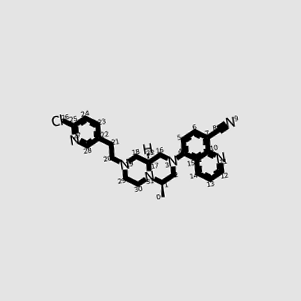 C[C@@H]1CN(c2ccc(C#N)c3ncccc23)C[C@@H]2CN(CCc3ccc(Cl)nc3)CCN21